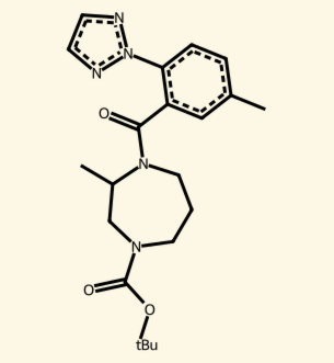 Cc1ccc(-n2nccn2)c(C(=O)N2CCCN(C(=O)OC(C)(C)C)CC2C)c1